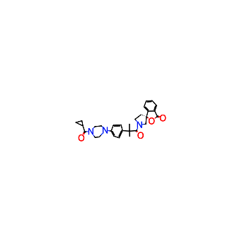 CC(C)(C(=O)N1CC[C@@]2(C1)OC(=O)c1ccccc12)c1ccc(N2CCN(C(=O)C3CC3)CC2)cc1